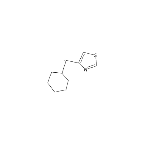 [CH](c1cscn1)C1CCCCC1